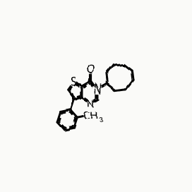 Cc1ccccc1-c1csc2c(=O)n(C3CCCCCCC3)cnc12